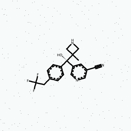 CC1([C@](O)(c2ccc(CC(F)(F)F)cc2)c2cncc(C#N)c2)CNC1